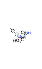 Cc1ccc(C2CCN(C(=O)N[C@@H](C(=O)O)[C@@H](C)c3c[nH]c4ccccc34)CC2)cc1